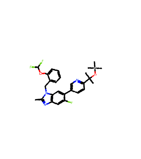 Cc1nc2cc(F)c(-c3ccc(C(C)(C)O[Si](C)(C)C)nc3)cc2n1Cc1ccccc1OC(F)F